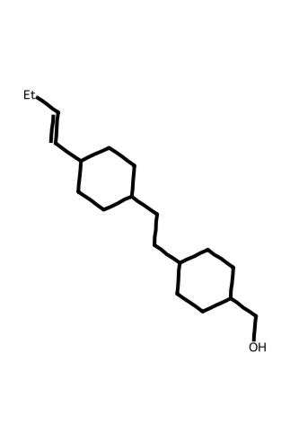 CCC=CC1CCC(CCC2CCC(CO)CC2)CC1